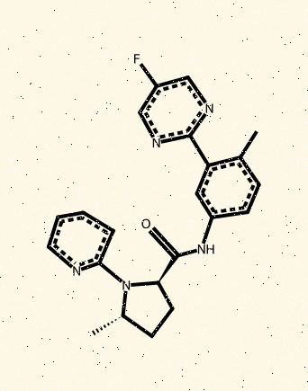 Cc1ccc(NC(=O)[C@H]2CC[C@H](C)N2c2ccccn2)cc1-c1ncc(F)cn1